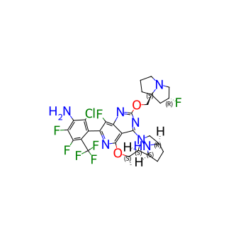 C[C@@H]1Oc2nc(-c3c(Cl)c(N)c(F)c(F)c3C(F)(F)F)c(F)c3nc(OC[C@@]45CCCN4C[C@H](F)C5)nc(c23)N2C[C@H]3CC[C@H](N3)[C@@H]12